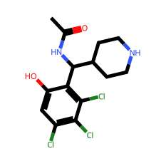 CC(=O)NC(c1c(O)cc(Cl)c(Cl)c1Cl)C1CCNCC1